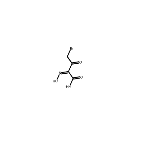 [NH]C(=O)C(=NO)C(=O)CBr